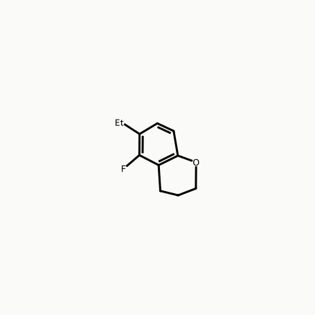 CCc1ccc2c(c1F)CCCO2